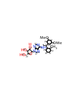 COc1cc(OC)cc(C(CNc2ncnc3c2ncn3[C@@H]2O[C@H](CO)C(O)C2O)c2ccccc2C)c1